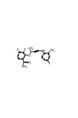 Cc1cc(I)ccc1NC#CC(C)Oc1c(C(N)=O)ccc(F)c1F